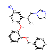 CC(CN1C=NCC1)c1cc(N)ccc1Oc1ccccc1OCc1ccccc1